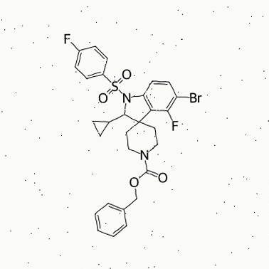 O=C(OCc1ccccc1)N1CCC2(CC1)c1c(ccc(Br)c1F)N(S(=O)(=O)c1ccc(F)cc1)C2C1CC1